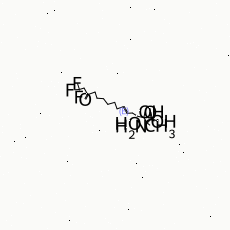 CC(N)(C(=O)O)C(O)C(O)C/C=C/CCCCCCC(=O)CC(F)(F)F